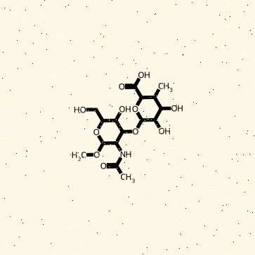 COC1OC(CO)C(O)C(OC2OC(C(=O)O)C(C)C(O)C2O)C1NC(C)=O